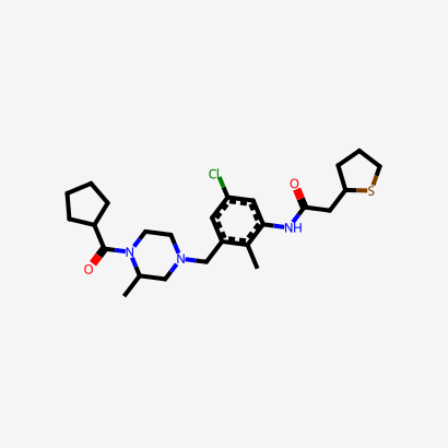 Cc1c(CN2CCN(C(=O)C3CCCC3)C(C)C2)cc(Cl)cc1NC(=O)CC1CCCS1